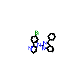 Brc1ccc2c3ncccc3n(-c3nc(-c4ccccc4)c4ccccc4n3)c2c1